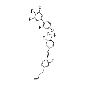 C=CCCc1ccc(C#Cc2ccc(C(F)(F)Oc3ccc(-c4cc(F)c(F)c(F)c4)c(F)c3)c(F)c2)c(F)c1